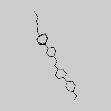 CC[C@H]1CC[C@H]([C@H]2CC[C@H](CCC3CCC(c4ccc(CCCCF)cc4)CC3)CC2)CC1